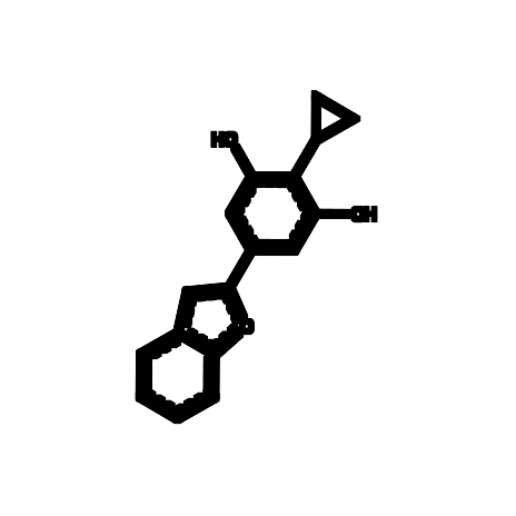 Oc1cc(-c2cc3ccccc3o2)cc(O)c1C1CC1